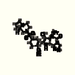 CCCn1c(=O)n2cnnc2c2[nH]c(-c3cc(S(=O)(=O)N4CCN5C=CC[C@H]5C4)ccc3OCC)c(Cl)c21